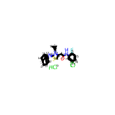 Cl.O=C(CC1CSC(=NC23CC4CC(CC(C4)C2)C3)N1C1CC1)Nc1cc(Cl)ccc1F